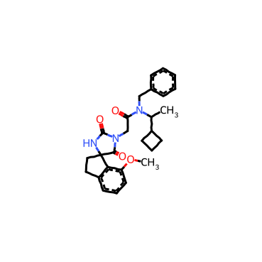 COc1cccc2c1C1(CC2)NC(=O)N(CC(=O)N(Cc2ccccc2)C(C)C2CCC2)C1=O